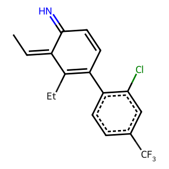 C/C=C1\C(=N)C=CC(c2ccc(C(F)(F)F)cc2Cl)=C1CC